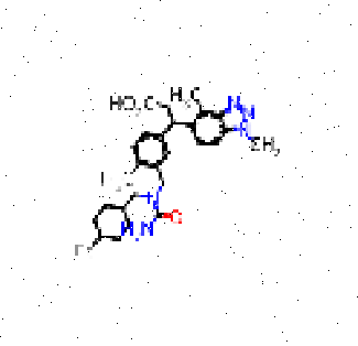 CCC1CCC(CN(Cc2cc(C(CC(=O)O)c3ccc4c(nnn4C)c3C)ccc2C)C(N)=O)CC1